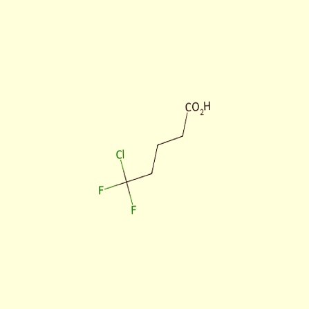 O=C(O)CCCC(F)(F)Cl